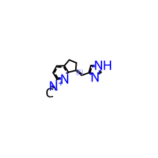 [C-]#[N+]c1ccc2c(n1)/C(=C/c1c[nH]cn1)CC2